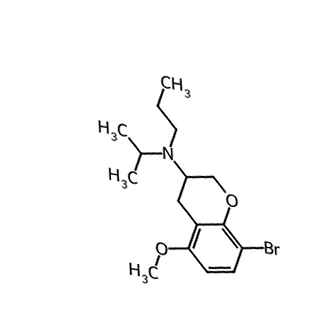 CCCN(C(C)C)C1COc2c(Br)ccc(OC)c2C1